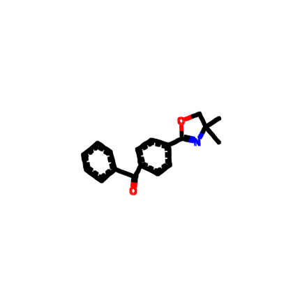 CC1(C)COC(c2ccc(C(=O)c3ccccc3)cc2)=N1